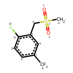 [CH2]S(=O)(=O)Cc1cc(C(F)(F)F)ccc1F